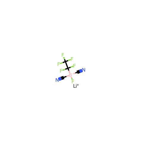 N#C[B-](F)(C#N)C(F)(F)C(F)(F)F.[Li+]